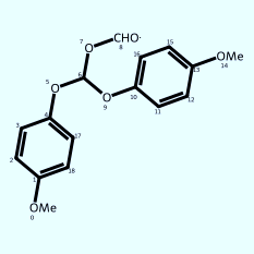 COc1ccc(OC(O[C]=O)Oc2ccc(OC)cc2)cc1